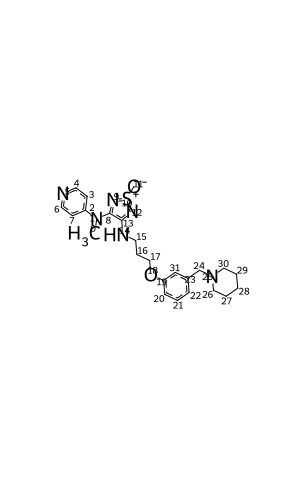 CN(c1ccncc1)c1n[s+]([O-])nc1NCCCOc1cccc(CN2CCCCC2)c1